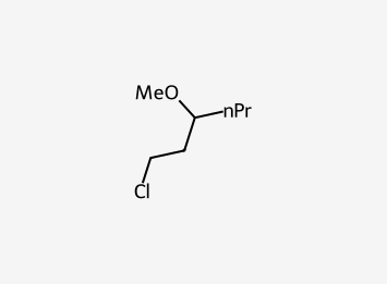 CCCC(CCCl)OC